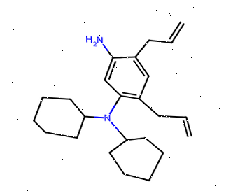 C=CCc1cc(CC=C)c(N(C2CCCCC2)C2CCCCC2)cc1N